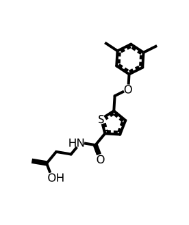 C=C(O)CCNC(=O)c1ccc(COc2cc(C)cc(C)c2)s1